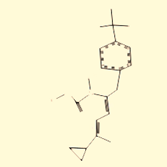 C/C(=C\C=C(\Cc1ccc(C(C)(F)F)cc1)N(C=O)C(=O)OC(C)(C)C)C1CC1